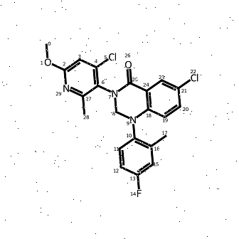 COc1cc(Cl)c(N2CN(c3ccc(F)cc3C)c3ccc(Cl)cc3C2=O)c(C)n1